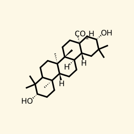 CC1(C)C[C@@H]2[C@H]3CC[C@@H]4[C@@]5(C)CC[C@H](O)C(C)(C)C5CC[C@@]4(C)[C@]3(C)CC[C@@]2(C(=O)O)C[C@@H]1O